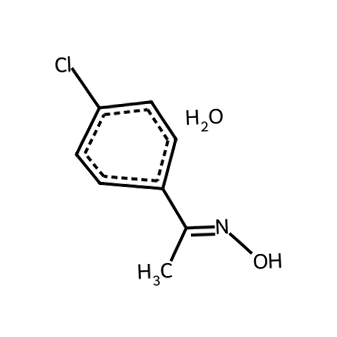 CC(=NO)c1ccc(Cl)cc1.O